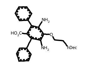 CCCCCCCCCCCCOc1c(N)c(-c2ccccc2)c(C(=O)O)c(-c2ccccc2)c1N